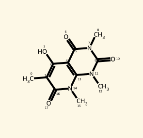 Cc1c(O)c2c(=O)n(C)c(=O)n(C)c2n(C)c1=O